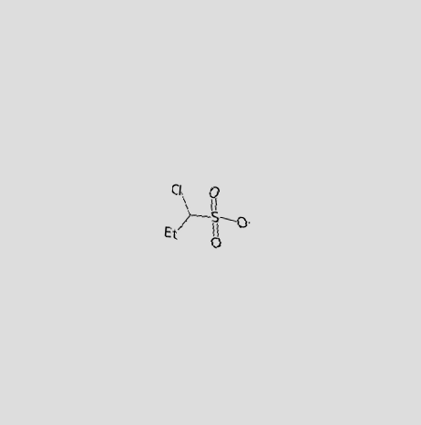 CCC(Cl)S([O])(=O)=O